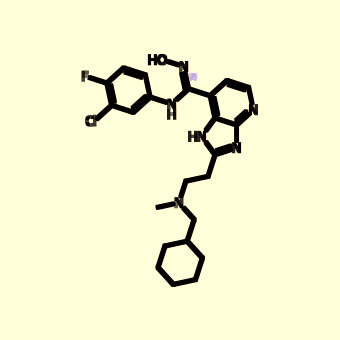 CN(CCc1nc2nccc(/C(=N/O)Nc3ccc(F)c(Cl)c3)c2[nH]1)CC1CCCCC1